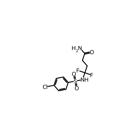 NC(=O)CCC(F)(F)NS(=O)(=O)c1ccc(Cl)cc1